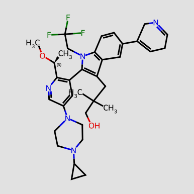 CO[C@@H](C)c1ncc(N2CCN(C3CC3)CC2)cc1-c1c(CC(C)(C)CO)c2cc(C3=CCC=NC3)ccc2n1CC(F)(F)F